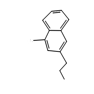 Nc1cc(CCF)cc2ccccc12